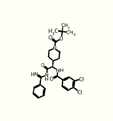 CC(C)(C)OC(=O)N1CCC(C(NC(=O)c2ccc(Cl)c(Cl)c2)C(=O)NC(=N)c2ccccc2)CC1